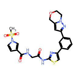 CS(=O)(=O)n1ccc(C(=O)NCC(=O)Nc2nc(-c3cccc(-c4cc5n(n4)CCOC5)c3)cs2)c1